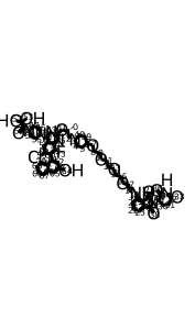 C[C@H](CN1CCC(OCCOCCOCCOCCNc2cccc3c2C(=O)N(C2CCC(=O)NC2=O)C3=O)CC1)Oc1nc(N2CCN(C(=O)C(O)O)CC2)c2cc(Cl)c(-c3cc(O)cc4ccccc34)c(F)c2n1